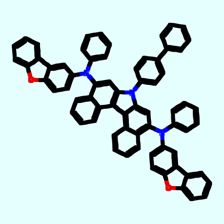 c1ccc(-c2ccc(-n3c4cc(N(c5ccccc5)c5ccc6oc7ccccc7c6c5)c5ccccc5c4c4c5ccccc5c(N(c5ccccc5)c5ccc6oc7ccccc7c6c5)cc43)cc2)cc1